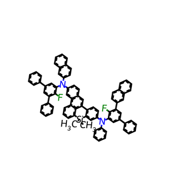 C[Si]1(C)c2cc(N(c3ccccc3)c3cc(-c4ccccc4)cc(-c4ccc5ccccc5c4)c3F)ccc2-c2cc3ccc(N(c4ccc5ccccc5c4)c4cc(-c5ccccc5)cc(-c5ccccc5)c4F)cc3c3cccc1c23